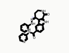 O=C(Nc1cccnc1)c1ccc2[nH]c3c(c2c1)/C(=N\Nc1ccccn1)CCNC3=O